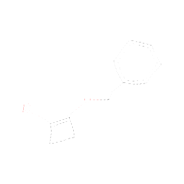 OC1=C(OCc2ccccc2)CC1